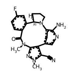 CN1C(=O)c2ccc(F)cc2[C@H]2CCCN2c2cc(cnc2N)-c2c1nn(C)c2C#N